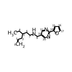 C=CCC(CC)CCNCc1cnc(-c2ccco2)nc1